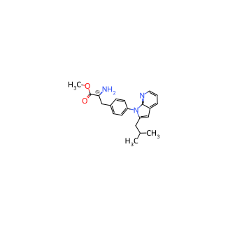 COC(=O)[C@@H](N)Cc1ccc(-n2c(CC(C)C)cc3cccnc32)cc1